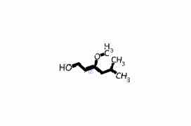 CO/C(=C\CO)CC(C)C